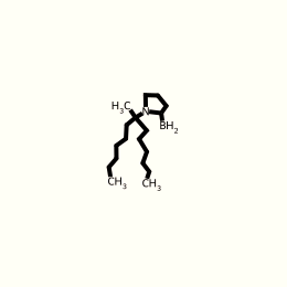 BC1CCCN1C(C)(CCCCCC)CCCCCC